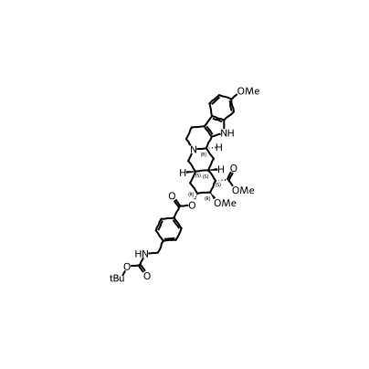 COC(=O)[C@H]1[C@H]2C[C@@H]3c4[nH]c5cc(OC)ccc5c4CCN3C[C@H]2C[C@@H](OC(=O)c2ccc(CNC(=O)OC(C)(C)C)cc2)[C@@H]1OC